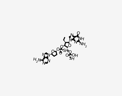 CC[C@@H]1[C@H](OP(=O)(S)O[C@@H]2CC[C@H](n3cnc4c(N)ncnc43)O2)[C@@H](COP(=O)(O)S)O[C@H]1n1cnc2c(=O)[nH]c(N)nc21